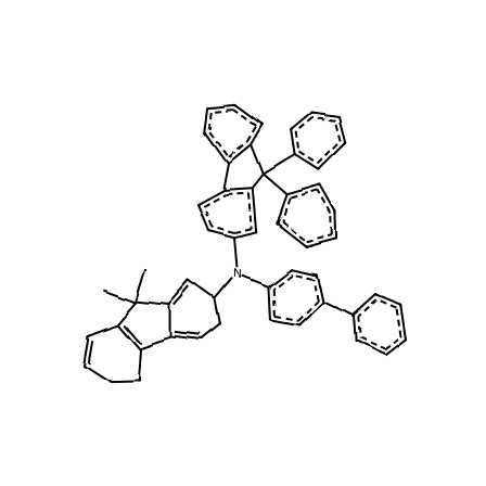 CC1(C)C2=CC(N(c3ccc(-c4ccccc4)cc3)c3ccc4c(c3)C(c3ccccc3)(c3ccccc3)c3ccccc3-4)CC=C2C2=C1C=CCC2